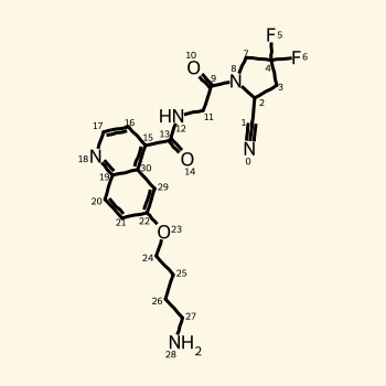 N#CC1CC(F)(F)CN1C(=O)CNC(=O)c1ccnc2ccc(OCCCCN)cc12